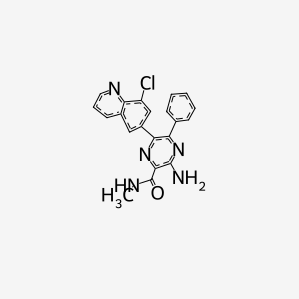 CNC(=O)c1nc(-c2cc(Cl)c3ncccc3c2)c(-c2ccccc2)nc1N